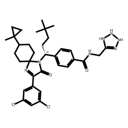 CC(C)(C)CC[C@H](c1ccc(C(=O)NCC2=NNNN2)cc1)N1C(=O)C(c2cc(Cl)cc(Cl)c2)=NC12CCC(C1(C)CC1)CC2